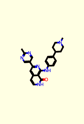 Cc1ncc(-c2cc3cc[nH]c(=O)c3c(Nc3ccc(C4CCN(C)CC4)cc3)n2)cn1